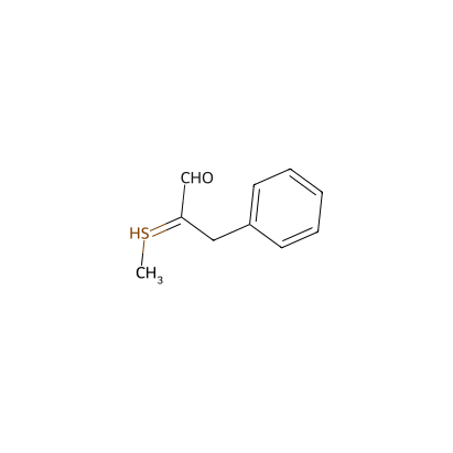 C/[SH]=C(/C=O)Cc1ccccc1